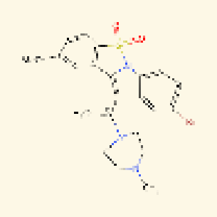 COc1ccc2c(c1)-c1c([C@@H](C)N3CCN(C)CC3)c3cc(Br)ccc3n1S2(=O)=O